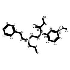 CCCN(CCc1ccccc1)CCN(C(=O)CC)c1cccc(OC)c1